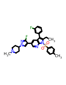 CCc1c(-c2cccc(F)c2)c2cc(-c3cn(C4CCN(C)CC4)nc3F)cnc2n1S(=O)(=O)c1ccc(C)cc1